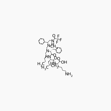 CCCCCN(CN(C)C(CNC(=O)C(F)(F)F)c1ccccc1)[C@H](Cc1ccccc1)C(=O)N[C@H](CC(C)C)C(=O)N[C@H](CCCCN)C(=O)O